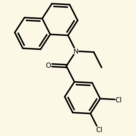 CCN(C(=O)c1ccc(Cl)c(Cl)c1)c1cccc2ccccc12